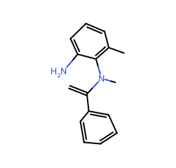 C=C(c1ccccc1)N(C)c1c(C)cccc1N